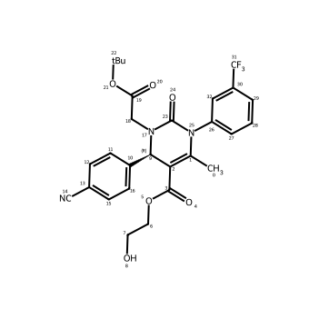 CC1=C(C(=O)OCCO)[C@@H](c2ccc(C#N)cc2)N(CC(=O)OC(C)(C)C)C(=O)N1c1cccc(C(F)(F)F)c1